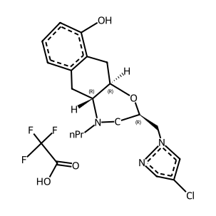 CCCN1C[C@H](Cn2cc(Cl)cn2)O[C@@H]2Cc3c(O)cccc3C[C@H]21.O=C(O)C(F)(F)F